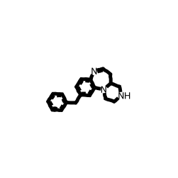 C1=Nc2ccc(Cc3ccccc3)cc2N2CCNCC2C1